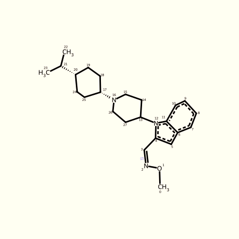 CO/N=C\c1cc2ccccc2n1C1CCN([C@H]2CC[C@@H](C(C)C)CC2)CC1